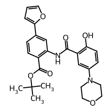 CC(C)(C)OC(=O)c1ccc(-c2ccco2)cc1NC(=O)c1cc(N2CCOCC2)ccc1O